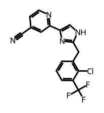 N#Cc1ccnc(-c2c[nH]c(Cc3cccc(C(F)(F)F)c3Cl)n2)c1